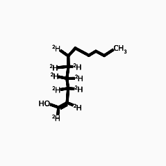 [2H]C(O)=C([2H])C([2H])([2H])C([2H])([2H])C([2H])([2H])C([2H])CCCCC